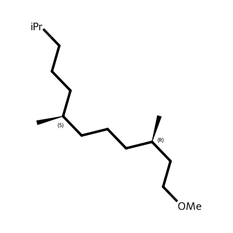 COCC[C@H](C)CCC[C@@H](C)CCCC(C)C